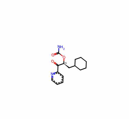 NC(=O)O[C@@H](CC1CCCCC1)C(=O)c1ccccn1